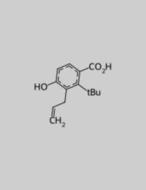 C=CCc1c(O)ccc(C(=O)O)c1C(C)(C)C